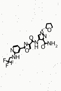 NC(=O)c1nn(C[C@@H]2CCCO2)cc1NC(=O)c1coc(-c2ccnc(NCC(F)(F)F)c2)n1